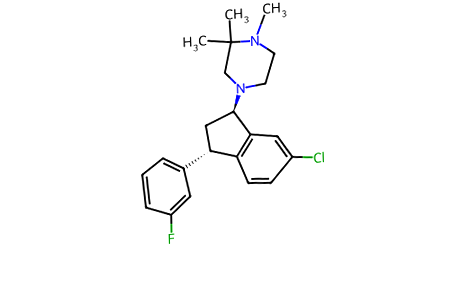 CN1CCN([C@@H]2C[C@@H](c3cccc(F)c3)c3ccc(Cl)cc32)CC1(C)C